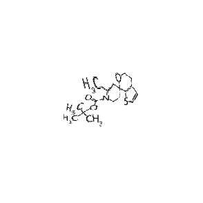 CC1CC2(CCN1C(=O)OC(C)(C)C)OCCc1ccsc12